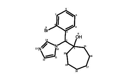 OC1(C(c2ccccc2Br)n2ccnc2)CCCCCC1